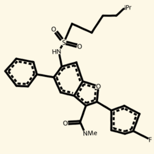 CNC(=O)c1c(-c2ccc(F)cc2)oc2cc(NS(=O)(=O)CCCCC(C)C)c(-c3ccccc3)cc12